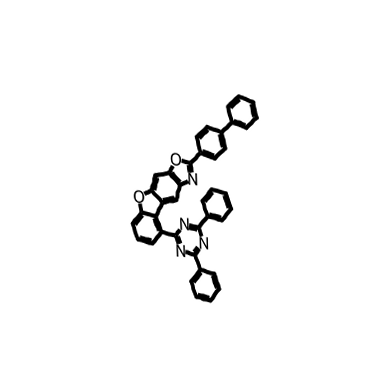 c1ccc(-c2ccc(-c3nc4cc5c(cc4o3)oc3cccc(-c4nc(-c6ccccc6)nc(-c6ccccc6)n4)c35)cc2)cc1